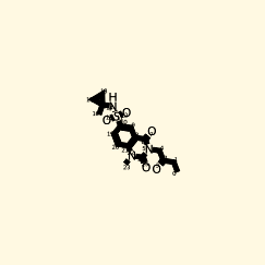 CCC(=O)Cn1c(=O)c2cc(S(=O)(=O)NC3(C)CC3)ccc2n(C)c1=O